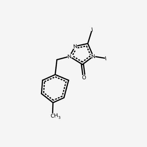 Cc1ccc(Cn2nc(I)n(I)c2=O)cc1